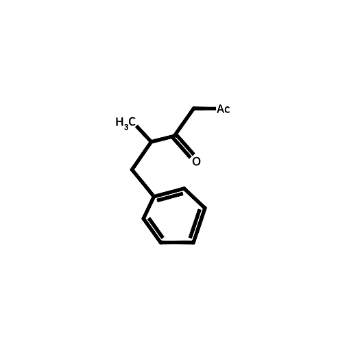 CC(=O)CC(=O)C(C)Cc1ccccc1